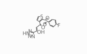 O=C(C=C(O)c1nn[nH]n1)c1ccsc1S(=O)(=O)c1ccc(F)cc1